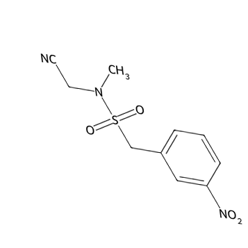 CN(CC#N)S(=O)(=O)Cc1cccc([N+](=O)[O-])c1